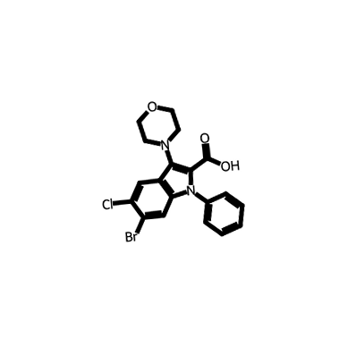 O=C(O)c1c(N2CCOCC2)c2cc(Cl)c(Br)cc2n1-c1ccccc1